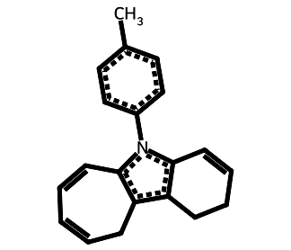 Cc1ccc(-n2c3c(c4c2C=CCC4)CC=CC=C3)cc1